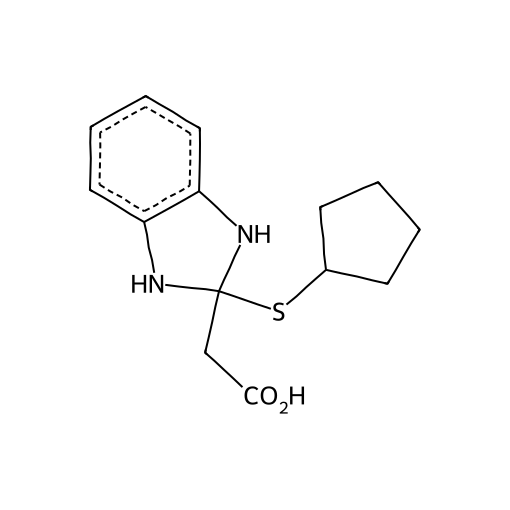 O=C(O)CC1(SC2CCCC2)Nc2ccccc2N1